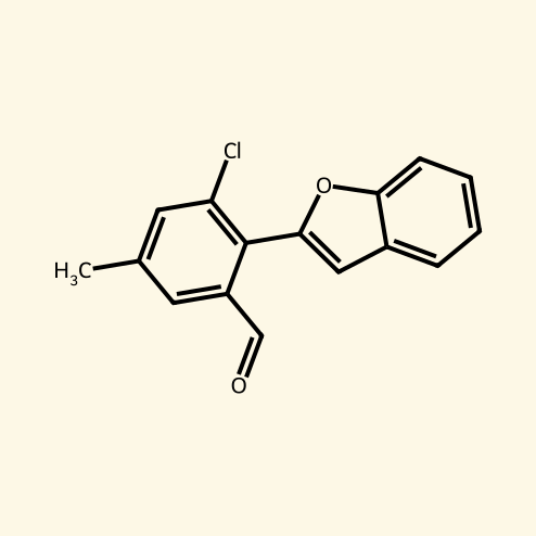 Cc1cc(Cl)c(-c2cc3ccccc3o2)c(C=O)c1